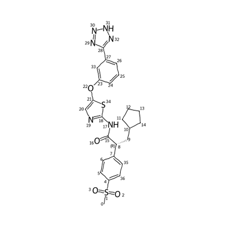 CS(=O)(=O)c1ccc([C@@H](CC2CCCC2)C(=O)Nc2ncc(Oc3cccc(-c4nn[nH]n4)c3)s2)cc1